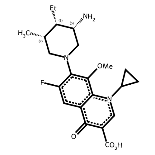 CC[C@@H]1[C@H](N)CN(c2c(F)cc3c(=O)c(C(=O)O)cn(C4CC4)c3c2OC)C[C@@H]1C